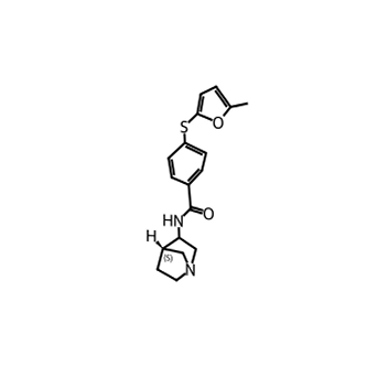 Cc1ccc(Sc2ccc(C(=O)NC3CN4CC[C@H]3C4)cc2)o1